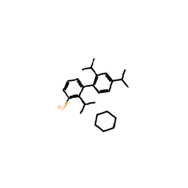 C1CCCCC1.CC(C)c1ccc(-c2cccc(P)c2C(C)C)c(C(C)C)c1